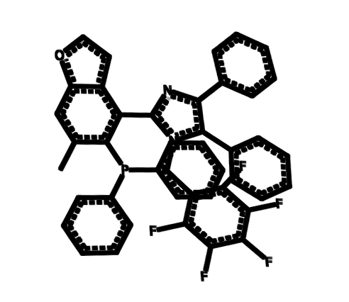 Cc1cc2occc2c(-c2nc(-c3ccccc3)c(-c3ccccc3)n2Cc2c(F)c(F)c(F)c(F)c2F)c1P(c1ccccc1)c1ccccc1